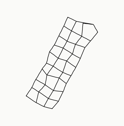 C1C2CC34C1C1C5C6C7C8C9C%10CC%11C%12CC%13C%14C%15C%16C%17C%18C%19C%20CC2C%203C%192C14C51C%182C%172C61C71C83C94C%11%10C%12%13C%144C%153C%1621